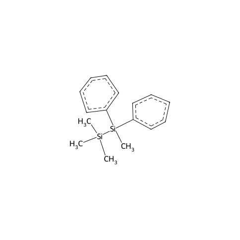 C[Si](C)(C)[Si](C)(c1ccccc1)c1ccccc1